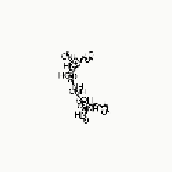 CC(=O)C[C@H](C)CCOC[C@H](COP(=O)(O)OCCNC(=O)NCCOP(=O)(O)OC[C@@H](COCC[C@@H](C)OC(C)=O)NC(=O)CNC(C)=O)NC(=O)CNC(C)=O